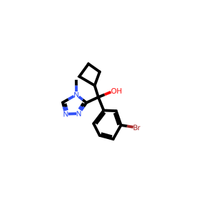 Cn1cnnc1C(O)(c1cccc(Br)c1)C1CCC1